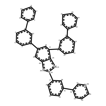 c1ccc(-c2cccc(-c3cc(-c4cccc(-c5ccccc5)c4)c4nn(-c5cccc(-c6cccnc6)c5)nc4c3)c2)cc1